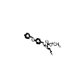 CCOC(=O)N(CCC#N)N=Cc1ccc(OCc2ccccc2)cc1